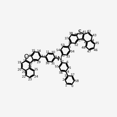 c1ccc(-c2ccc(N(c3ccc(-c4ccc5oc6ccc7ccccc7c6c5c4)cc3)c3ccc(-c4ccc5sc6ccc7ccccc7c6c5c4)cc3)cc2)cc1